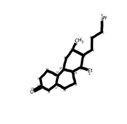 CCC1C(CCCC(C)C)C(C)CC2C3CCC(=O)CC3CCC12